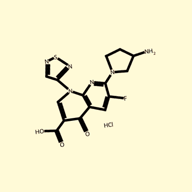 Cl.NC1CCN(c2nc3c(cc2F)c(=O)c(C(=O)O)cn3-c2cnsn2)C1